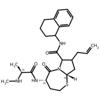 C=CCC1C[C@@H]2SCC[C@H](NC(=O)[C@H](C)NC)C(=O)N2C1C(=O)NC1CCCc2ccccc21